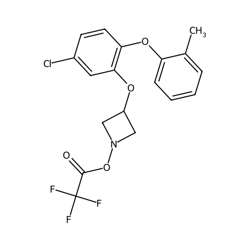 Cc1ccccc1Oc1ccc(Cl)cc1OC1CN(OC(=O)C(F)(F)F)C1